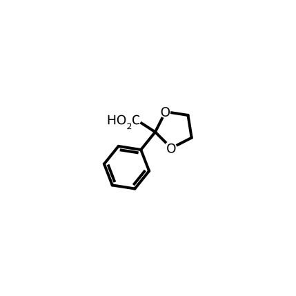 O=C(O)C1(c2ccccc2)OCCO1